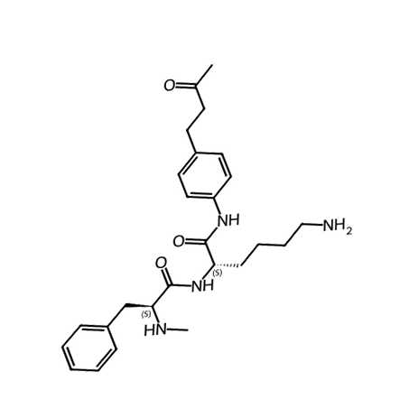 CN[C@@H](Cc1ccccc1)C(=O)N[C@@H](CCCCN)C(=O)Nc1ccc(CCC(C)=O)cc1